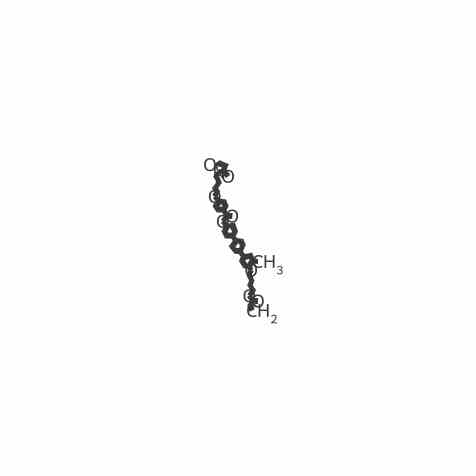 C=CC(=O)OCCCCOc1ccc(-c2ccc(-c3ccc(OC(=O)c4ccc(OCCCCN5C(=O)C=CC5=O)cc4)cc3)cc2)cc1C